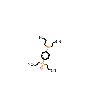 N#CCCP(CCC#N)c1ccc(P(=O)(CCC#N)CCC#N)cc1